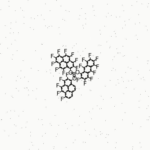 Fc1c(F)c(F)c2c(F)c3c(OB(Oc4c(F)c(F)c5c(F)c(F)c6c(F)ccc7ccc4c5c76)Oc4c(F)c(F)c5c(F)c(F)c6c(F)c(F)c(F)c7c(F)c(F)c4c5c67)c(F)c(F)c(F)c3c(F)c2c1F